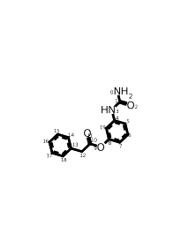 NC(=O)Nc1cccc(OC(=O)Cc2ccccc2)c1